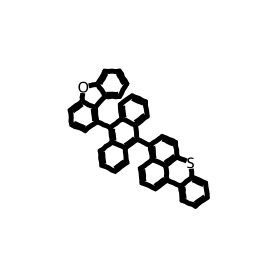 c1ccc2c(c1)Sc1ccc(-c3c4ccccc4c(-c4cccc5oc6ccccc6c45)c4ccccc34)c3cccc-2c13